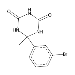 CC1(c2cccc(Br)c2)NC(=O)NC(=O)N1